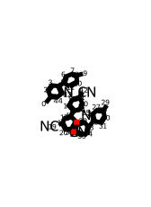 Cc1ccc2c3ccc(C)cc3n(-c3cc(-c4cc(C#N)cc(C#N)c4)c(-n4c5cc(C)ccc5c5ccc(C)cc54)cc3C#N)c2c1